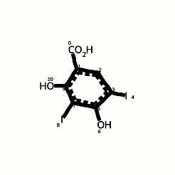 O=C(O)c1cc(I)c(O)c(I)c1O